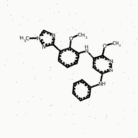 COc1nnc(Nc2ccccc2)cc1Nc1cccc(-c2ncn(C)n2)c1OC